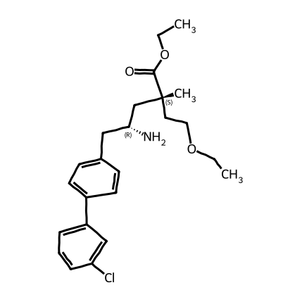 CCOCC[C@](C)(C[C@H](N)Cc1ccc(-c2cccc(Cl)c2)cc1)C(=O)OCC